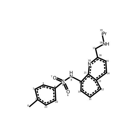 Cc1ccc(S(=O)(=O)Nc2cccc3ccc(CNC(C)C)nc23)cc1